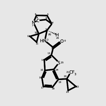 O=C(N[C@@H]1C2CCN(CC2)C12CC2)c1cc2cccc(C3(C(F)(F)F)CC3)c2s1